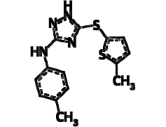 Cc1ccc(Nc2n[nH]c(Sc3ccc(C)s3)n2)cc1